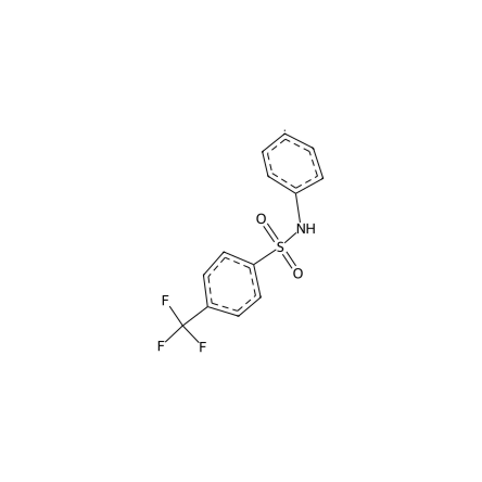 O=S(=O)(Nc1cc[c]cc1)c1ccc(C(F)(F)F)cc1